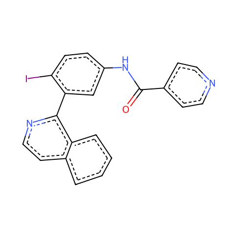 O=C(Nc1ccc(I)c(-c2nccc3ccccc23)c1)c1ccncc1